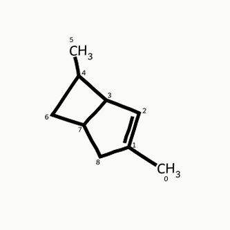 CC1=CC2C(C)CC2C1